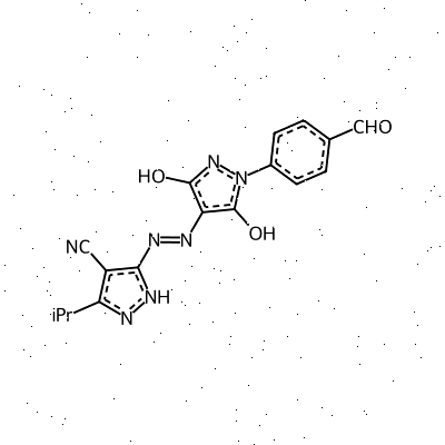 CC(C)c1n[nH]c(/N=N/c2c(O)nn(-c3ccc(C=O)cc3)c2O)c1C#N